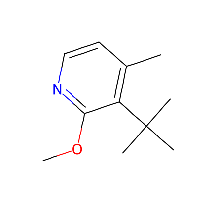 COc1nccc(C)c1C(C)(C)C